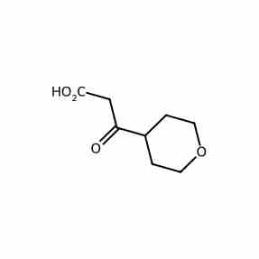 O=C(O)CC(=O)C1CCOCC1